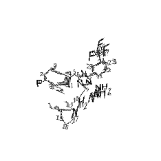 Fc1ccc(Cc2nc(CCCN3CCCCC3)nc(-c3cccc(C(F)(F)F)c3)n2)cc1.NNN